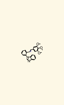 COc1cc(/C=C/c2ccccc2-n2cnc3ccccc32)cc(OC)c1OC